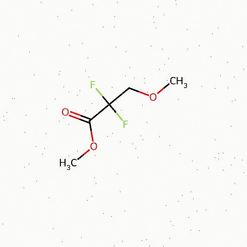 COCC(F)(F)C(=O)OC